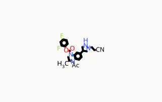 CC(=O)N1c2ccc(C3CNN(CCC#N)C3)cc2N(C(=O)Oc2ccc(F)cc2F)C[C@@H]1C